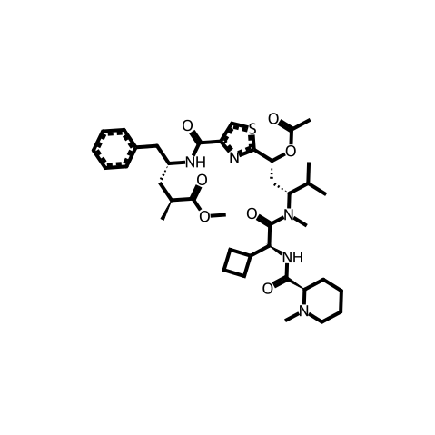 COC(=O)[C@@H](C)C[C@H](Cc1ccccc1)NC(=O)c1csc([C@@H](C[C@H](C(C)C)N(C)C(=O)[C@@H](NC(=O)[C@H]2CCCCN2C)C2CCC2)OC(C)=O)n1